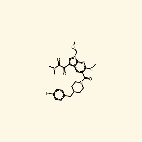 COCn1cc(C(=O)C(=O)N(C)C)c2cc(C(=O)N3CCC(Cc4ccc(F)cc4)CC3)c(OC)nc21